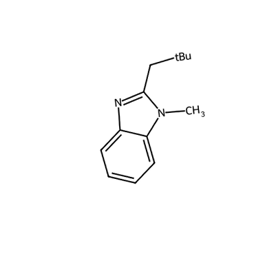 Cn1c(CC(C)(C)C)nc2ccccc21